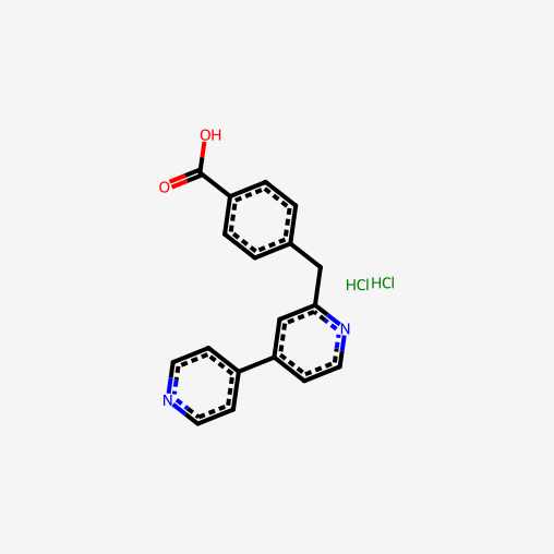 Cl.Cl.O=C(O)c1ccc(Cc2cc(-c3ccncc3)ccn2)cc1